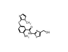 Cn1ccnc1Sc1ccc(N)c(C(=O)Nc2nc(CO)cs2)c1